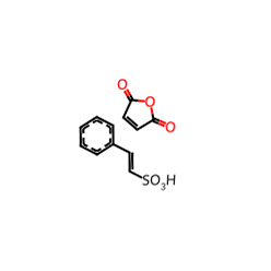 O=C1C=CC(=O)O1.O=S(=O)(O)C=Cc1ccccc1